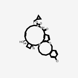 O=C1NS(=O)(=O)[C@@H](CC2CC2)CC/C=C\[C@H](O)[C@@H]2CC[C@H]2CN2CCCCc3cc(Cl)ccc3COc3ccc1cc32